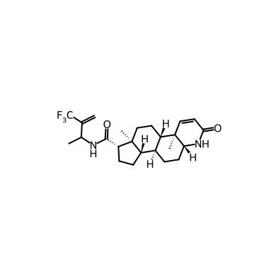 C=C(C(C)NC(=O)[C@H]1CC[C@H]2[C@@H]3CC[C@H]4NC(=O)C=C[C@]4(C)[C@H]3CC[C@]12C)C(F)(F)F